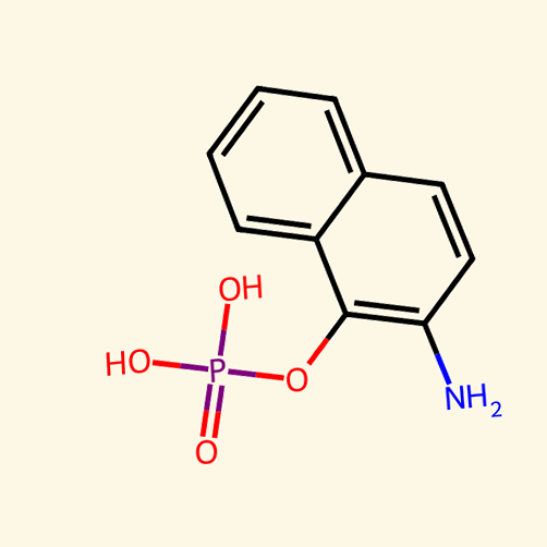 Nc1ccc2ccccc2c1OP(=O)(O)O